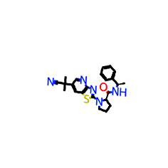 C[C@@H](NC(=O)[C@H]1CCCN1c1nc2ncc(C(C)(C)C#N)cc2s1)c1ccccc1